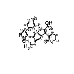 CCc1ccc2c(c1)c(-c1ccc[nH]c1=O)c(C(=O)O)n2Cc1cc(-c2cnn(C)c2)ccc1F